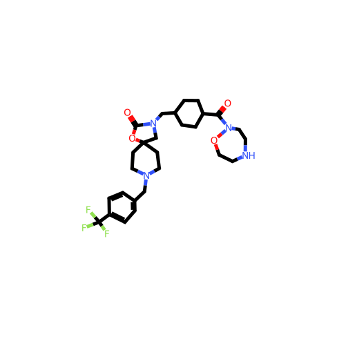 O=C1OC2(CCN(Cc3ccc(C(F)(F)F)cc3)CC2)CN1CC1CCC(C(=O)N2CCNCCO2)CC1